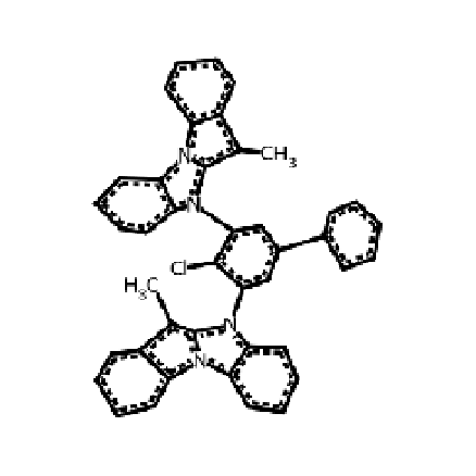 Cc1c2ccccc2n2c3ccccc3n(-c3cc(-c4ccccc4)cc(-n4c5ccccc5n5c6ccccc6c(C)c45)c3Cl)c12